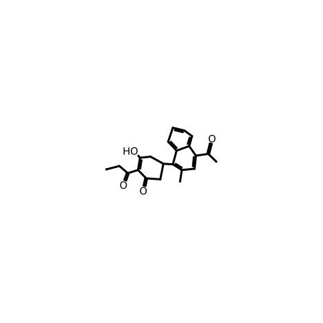 CCC(=O)C1=C(O)CC(c2c(C)cc(C(C)=O)c3ccccc23)CC1=O